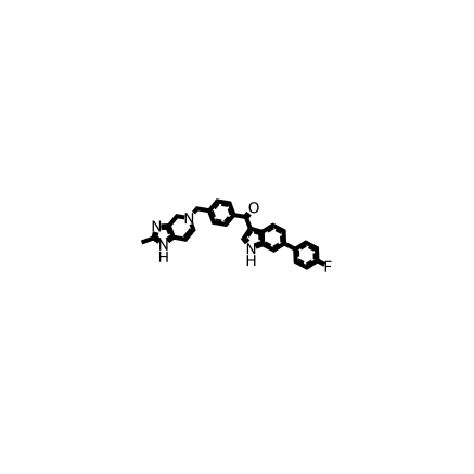 Cc1nc2c([nH]1)C=CN(Cc1ccc(C(=O)c3c[nH]c4cc(-c5ccc(F)cc5)ccc34)cc1)C2